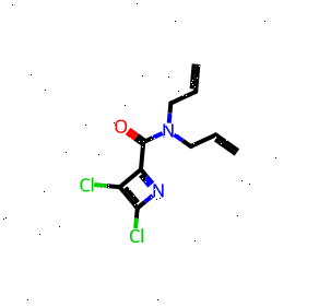 C=CCN(CC=C)C(=O)C1=NC(Cl)=C1Cl